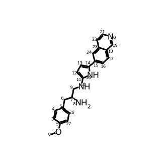 COc1ccc(C[C@H](N)CNc2ccc(-c3ccc4cnccc4c3)[nH]2)cc1